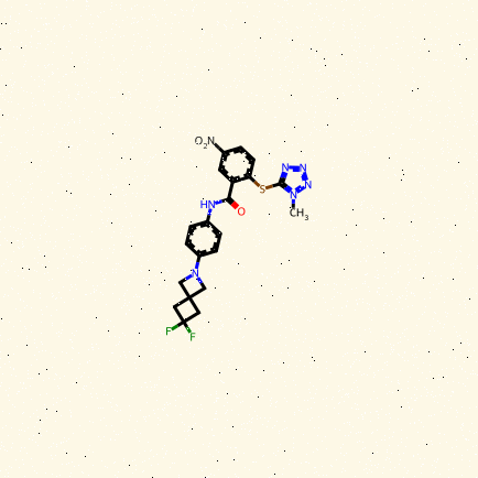 Cn1nnnc1Sc1ccc([N+](=O)[O-])cc1C(=O)Nc1ccc(N2CC3(C2)CC(F)(F)C3)cc1